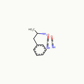 N=C=O.N=C=O.NC(Cc1ccccc1)C(=O)O